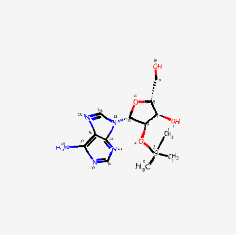 C[Si](C)(C)O[C@@H]1[C@H](O)[C@@H](CO)O[C@H]1n1cnc2c(N)ncnc21